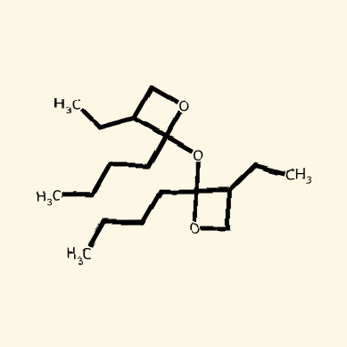 CCCCC1(OC2(CCCC)OCC2CC)OCC1CC